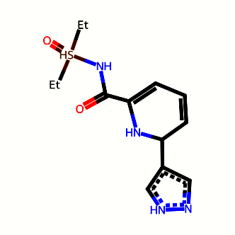 CC[SH](=O)(CC)NC(=O)C1=CC=CC(c2cn[nH]c2)N1